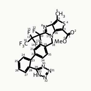 COC(=O)c1sc(C)c2nc(C(F)(F)C(F)(F)C(F)(F)F)n(Cc3ccc(-c4ccccc4-c4nnn[nH]4)cc3)c12